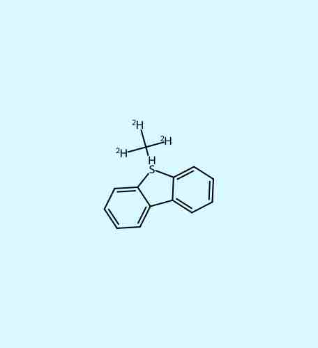 [2H]C([2H])([2H])[SH]1c2ccccc2-c2ccccc21